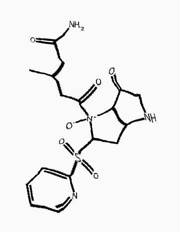 CC(CC(N)=O)CC(=O)[N+]1([O-])C2C(=O)CNC2CC1S(=O)(=O)c1ccccn1